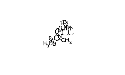 Cc1cc(S(C)(=O)=O)cc(=O)n1[C@@H](CC1CCCCC1)C(=O)Nc1nccs1